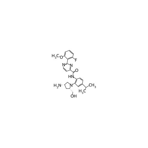 COc1cccc(F)c1-c1nccc(C(=O)Nc2ccc(C(C)C)cc2N2C[C@@H](N)C[C@H]2CO)n1